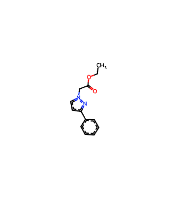 CCOC(=O)Cn1ccc(-c2ccccc2)n1